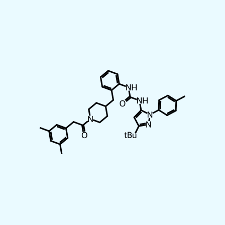 Cc1ccc(-n2nc(C(C)(C)C)cc2NC(=O)Nc2ccccc2CC2CCN(C(=O)Cc3cc(C)cc(C)c3)CC2)cc1